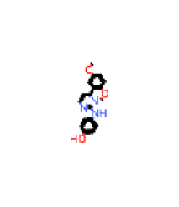 COc1ccc(OC)c(-c2ccnc(Nc3ccc(O)cc3)n2)c1